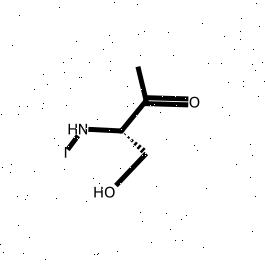 CC(=O)[C@H](CO)NI